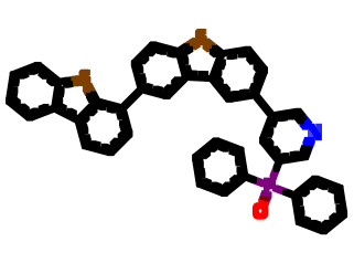 O=P(c1ccccc1)(c1ccccc1)c1cncc(-c2ccc3sc4ccc(-c5cccc6c5sc5ccccc56)cc4c3c2)c1